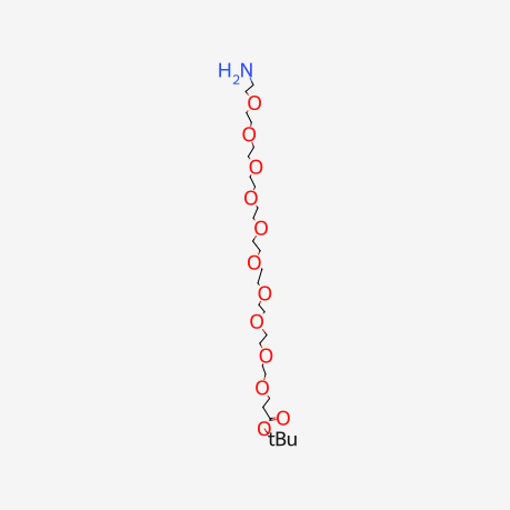 CC(C)(C)OC(=O)CCOCCOCCOCCOCCOCCOCCOCCOCCOCCOCCN